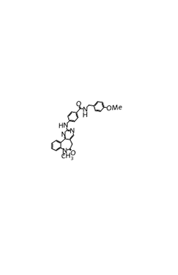 COc1ccc(CNC(=O)c2ccc(Nc3ncc4c(n3)-c3ccccc3N(C)C(=O)C4)cc2)cc1